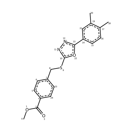 COC(=O)c1ccc(CSc2nnc(-c3ccc(C)c(C)c3)o2)cc1